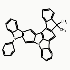 CC1(C)c2ccccc2-c2c1cc1c3ccccc3n3c4cc5c(cc4c2c13)c1ccccc1n5-c1ccccc1